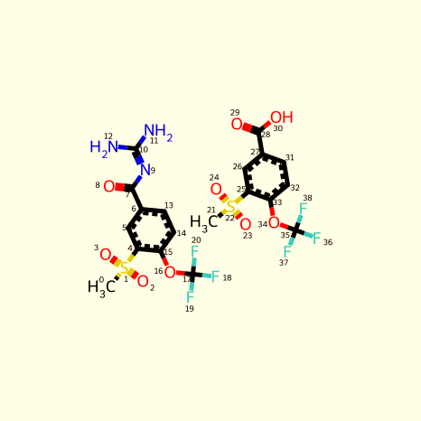 CS(=O)(=O)c1cc(C(=O)N=C(N)N)ccc1OC(F)(F)F.CS(=O)(=O)c1cc(C(=O)O)ccc1OC(F)(F)F